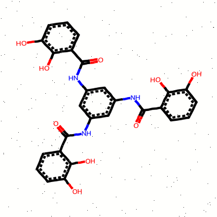 O=C(Nc1cc(NC(=O)c2cccc(O)c2O)cc(NC(=O)c2cccc(O)c2O)c1)c1cccc(O)c1O